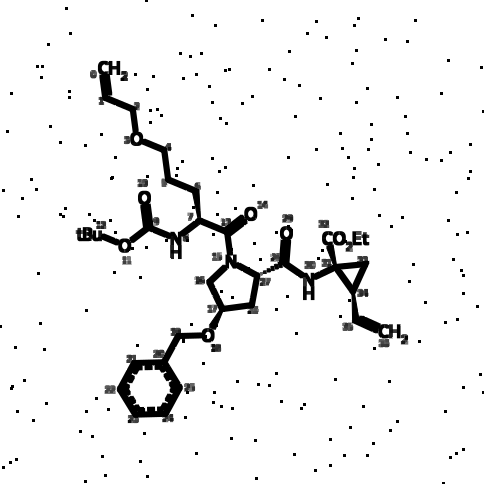 C=CCOCCC[C@H](NC(=O)OC(C)(C)C)C(=O)N1C[C@H](OCc2ccccc2)C[C@H]1C(=O)N[C@]1(C(=O)OCC)C[C@H]1C=C